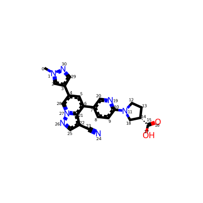 Cn1cc(-c2cc(-c3ccc(N4CC[C@H](C(=O)O)C4)nc3)c3c(C#N)cnn3c2)cn1